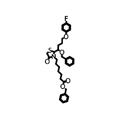 O=C(CCCCCCN1C(=O)CSC1C(CCCOc1ccc(F)cc1)OCc1ccccc1)OCc1ccccc1